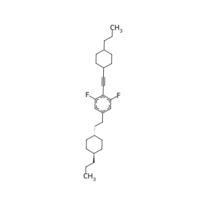 CCCC1CCC(C#Cc2c(F)cc(CC[C@H]3CC[C@H](CCC)CC3)cc2F)CC1